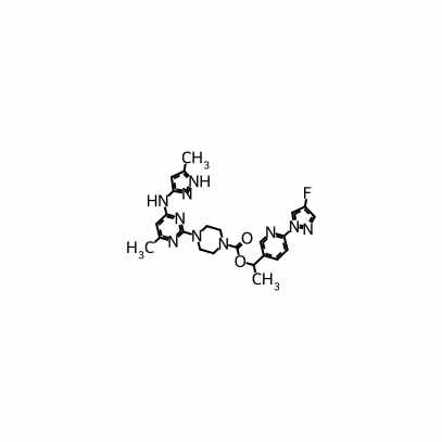 Cc1cc(Nc2cc(C)[nH]n2)nc(N2CCN(C(=O)OC(C)c3ccc(-n4cc(F)cn4)nc3)CC2)n1